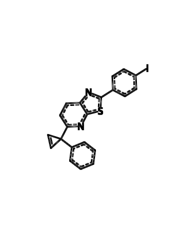 Ic1ccc(-c2nc3ccc(C4(c5ccccc5)C=C4)nc3s2)cc1